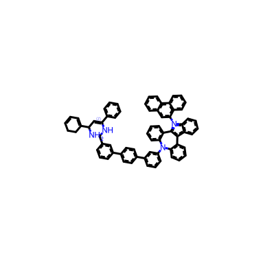 NC(/C=C(\NCc1cccc(-c2ccc(-c3cccc(N4c5ccccc5-c5c(n(-c6cc7ccccc7c7ccccc67)c6ccccc56)-c5ccccc54)c3)cc2)c1)c1ccccc1)C1=CC=CCC1